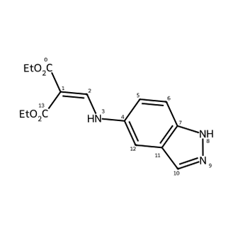 CCOC(=O)C(=CNc1ccc2[nH]ncc2c1)C(=O)OCC